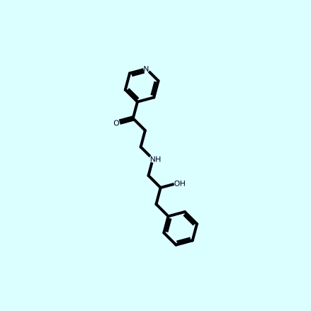 O=C(CCNCC(O)Cc1ccccc1)c1ccncc1